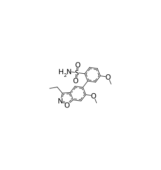 CCc1noc2cc(OC)c(-c3cc(OC)ccc3S(N)(=O)=O)cc12